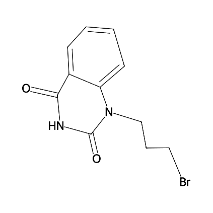 O=c1[nH]c(=O)n(CCCBr)c2ccccc12